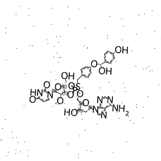 COC1[C@@H](OP(=O)(OC[C@H]2O[C@@H](n3cnc4c(N)ncnc43)C[C@H]2O)SCc2ccc(OC(O)c3ccc(O)cc3)cc2)[C@@H](CO)O[C@H]1n1ccc(=O)[nH]c1=O